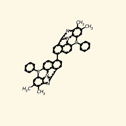 Cc1cc2c3c(nc4c5ccc(-c6ccc7c8c6ccc6c8n8c7nc7c(C)c(C)cc(c78)B6c6ccccc6)c6ccc(c(c65)n43)B2c2ccccc2)c1C